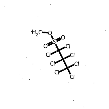 [CH2]OS(=O)(=O)C(Cl)(Cl)C(Cl)(Cl)C(Cl)(Cl)Cl